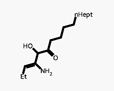 CCC=C(N)C(O)C(=O)CCCCCCCCCCC